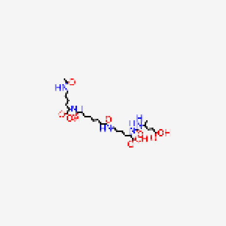 CC(=O)NCCCCC(NC(=O)CCCCCCC(=O)NCCCCC(NC(=O)NC(C)CCC(=O)O)C(=O)O)C(=O)O